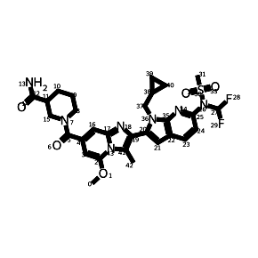 COc1cc(C(=O)N2CCCC(C(N)=O)C2)cc2nc(-c3cc4ccc(N(C(F)F)S(C)(=O)=O)nc4n3CC3CC3)c(C)n12